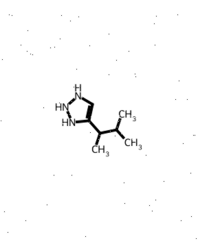 CC(C)C(C)C1=CNNN1